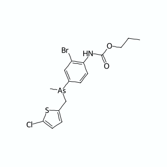 CCCOC(=O)Nc1ccc([As](C)Cc2ccc(Cl)s2)cc1Br